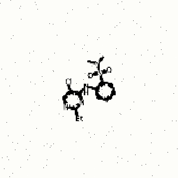 CCc1ncc(Cl)c(Nc2ccccc2S(=O)(=O)N(C)C)n1